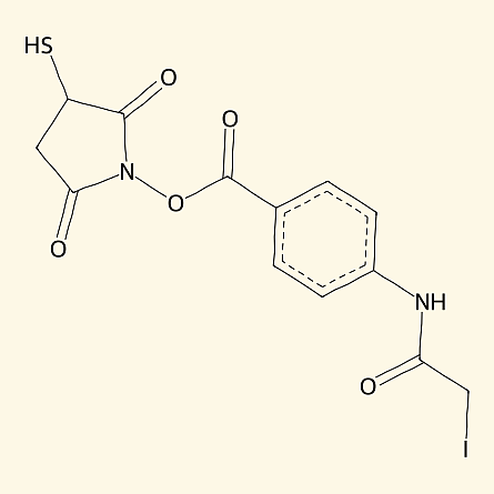 O=C(CI)Nc1ccc(C(=O)ON2C(=O)CC(S)C2=O)cc1